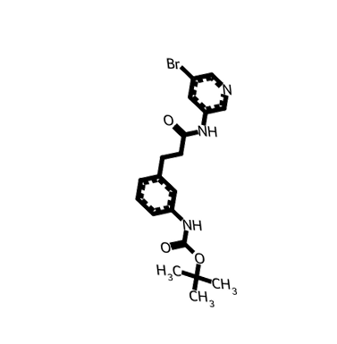 CC(C)(C)OC(=O)Nc1cccc(CCC(=O)Nc2cncc(Br)c2)c1